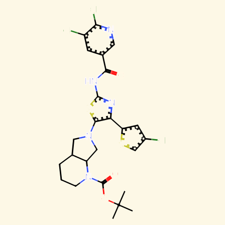 CC(C)(C)OC(=O)N1CCCC2CN(c3sc(NC(=O)c4cnc(Cl)c(Cl)c4)nc3-c3cc(Cl)cs3)CC21